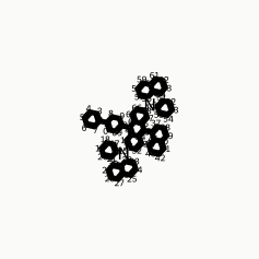 C1=C(c2ccccc2)CCC(c2c3cc(N(c4ccccc4)c4cccc5ccccc45)ccc3c(-c3cccc4ccccc34)c3cc(N(c4ccccc4)c4cccc5ccccc45)ccc23)=C1